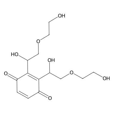 O=C1C=CC(=O)C(C(O)COCCO)=C1C(O)COCCO